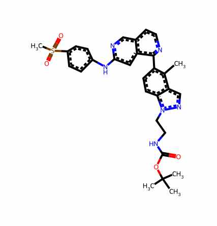 Cc1c(-c2nccc3cnc(Nc4ccc(S(C)(=O)=O)cc4)cc23)ccc2c1cnn2CCNC(=O)OC(C)(C)C